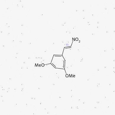 COc1cc(/C=C/[N+](=O)[O-])cc(OC)c1